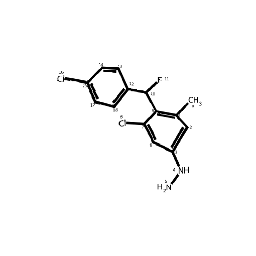 Cc1cc(NN)cc(Cl)c1C(F)c1ccc(Cl)cc1